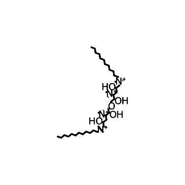 CCCCCCCCCCCC[N+](C)(C)CC(O)CC(C(O)COCC(O)C(CC(O)C[N+](C)(C)CCCCCCCCCCCC)[N+](C)(C)C)[N+](C)(C)C